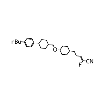 CCCCc1ccc([C@H]2CC[C@H](CO[C@H]3CC[C@H](CC/C=C(\F)C#N)CC3)CC2)cc1